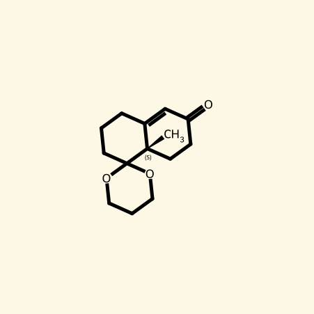 C[C@]12CCC(=O)C=C1CCCC21OCCCO1